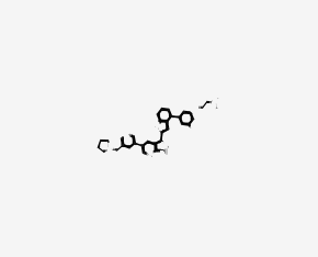 CN(C)CCOc1cc(F)cc(-c2cccc3[nH]c(-c4n[nH]c5ncc(-c6cncc(CN7CCCC7)c6)cc45)cc23)c1